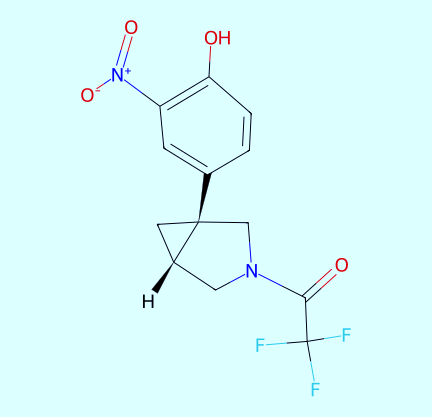 O=C(N1C[C@@H]2C[C@]2(c2ccc(O)c([N+](=O)[O-])c2)C1)C(F)(F)F